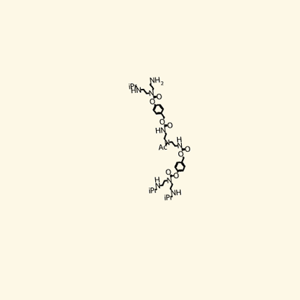 CC(=O)N(CCNC(=O)OCc1ccc(OC(=O)N(CCN)CCNC(C)C)cc1)CCNC(=O)OCc1ccc(OC(=O)N(CCNC(C)C)CCNC(C)C)cc1